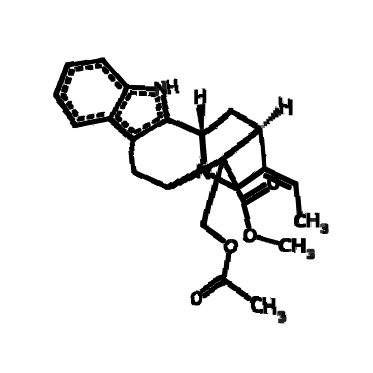 C/C=C1\CN2C3Cc4c([nH]c5ccccc45)[C@@H]2C[C@@H]1C3(COC(C)=O)C(=O)OC